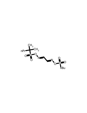 CCCCS(=O)(=O)ON=CC=NOS(=O)(=O)C(C)(C)CCC